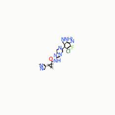 C[C@H]1[C@H](C(=O)Nc2cn3cc(-c4c(Cl)c(F)c(N(C)C)c5[nH]ncc45)ncc3n2)[C@H]1c1cnn(C)c1